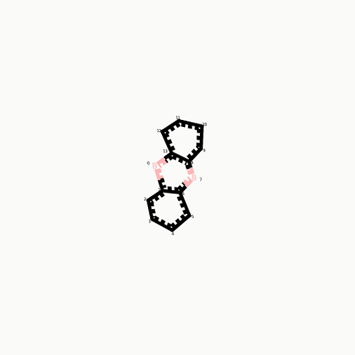 b1c2ccccc2bc2ccccc12